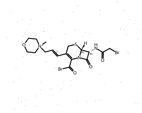 C[N+]1(C/C=C/C2=C(C(=O)Br)N3C(=O)[C@@H](NC(=O)CBr)[C@H]3SC2)CCOCC1